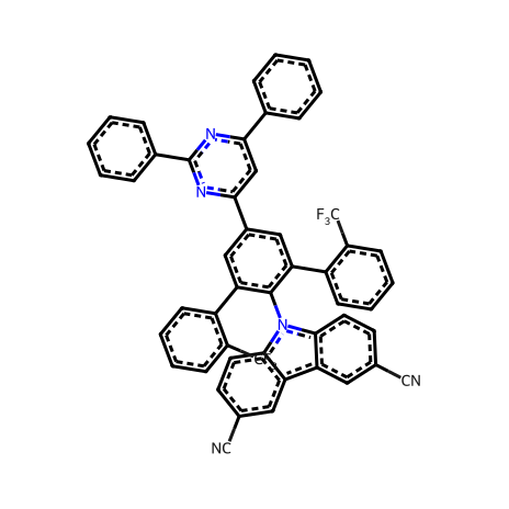 N#Cc1ccc2c(c1)c1cc(C#N)ccc1n2-c1c(-c2ccccc2C(F)(F)F)cc(-c2cc(-c3ccccc3)nc(-c3ccccc3)n2)cc1-c1ccccc1C(F)(F)F